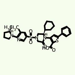 Cc1cc(S(=O)(=O)N2CC(=O)N(c3cc(-c4ccccc4)sc3C(=O)O)[C@H](C3CCCCC3)C2)cnc1N1CCC[C@H]1C